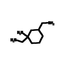 NCC1CCCC(N)(CN)C1